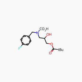 CC(C)(C)C(=O)OCC(O)CN(Cc1ccc(F)cc1)C(=O)O